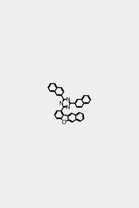 c1ccc2cc(-c3nc(-c4ccc5ccccc5c4)nc(-c4cccc5oc6cc7ccccc7cc6c45)n3)ccc2c1